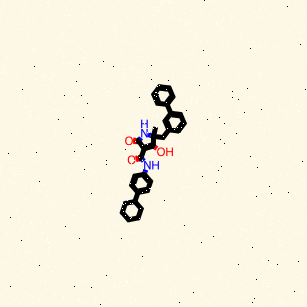 CC1(Cc2cccc(-c3ccccc3)c2)NC(=O)C(C(=O)Nc2ccc(C3CCCCC3)cc2)=C1O